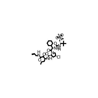 C=CCNC(=O)C(=O)C(CCC)NC(=O)[C@@H]1C[C@@H](Cl)CN1C(=O)[C@@H](NC(=O)N[C@H](CN(C)S(C)(=O)=O)C(C)(C)C)C1CCCCC1